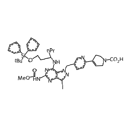 CCCC(CCO[Si](c1ccccc1)(c1ccccc1)C(C)(C)C)Nc1nc(NC(=O)OC)nc2c(I)nn(Cc3ccc(C4=CCN(C(=O)O)CC4)nc3)c12